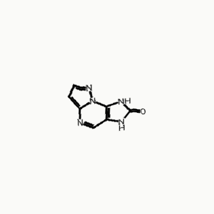 O=c1[nH]c2cnc3ccnn3c2[nH]1